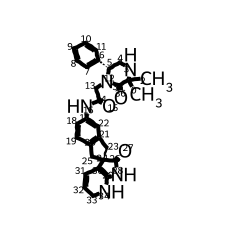 CC1(C)NC[C@@H](c2ccccc2)N(CC(=O)Nc2ccc3c(c2)C[C@@]2(C3)C(=O)NC3=C2C=CCN3)C1=O